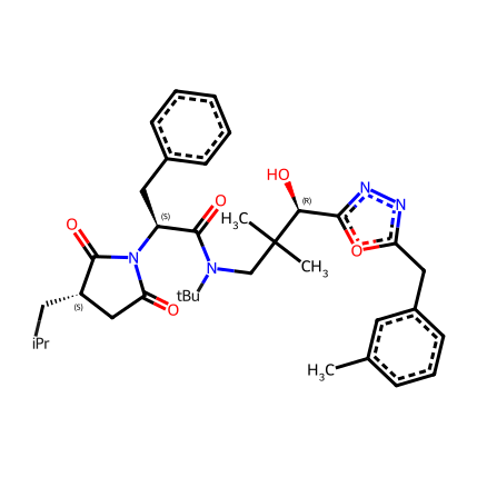 Cc1cccc(Cc2nnc([C@H](O)C(C)(C)CN(C(=O)[C@H](Cc3ccccc3)N3C(=O)C[C@H](CC(C)C)C3=O)C(C)(C)C)o2)c1